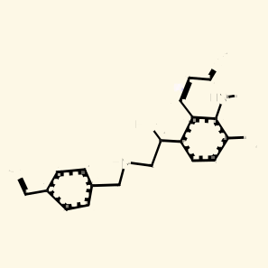 CNc1c(O)ccc(C(O)CNCc2ccc(C=O)cc2)c1/C=C\C=O